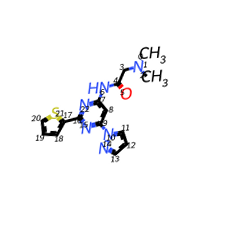 CN(C)CC(=O)Nc1cc(-n2cccn2)nc(-c2cccs2)n1